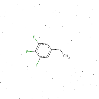 CCc1cc(F)c(F)c(F)c1